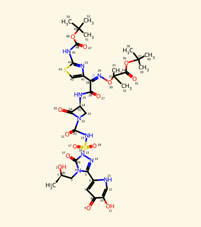 C[C@@H](O)Cn1c(-c2cc(=O)c(O)c[nH]2)nn(S(=O)(=O)NC(=O)N2C[C@H](NC(=O)/C(=N\OC(C)(C)C(=O)OC(C)(C)C)c3csc(NC(=O)OC(C)(C)C)n3)C2=O)c1=O